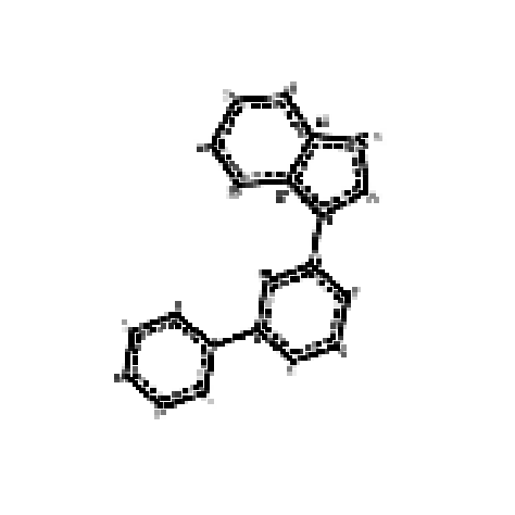 c1ccc(-c2cccc(-c3csc4ccccc34)c2)cc1